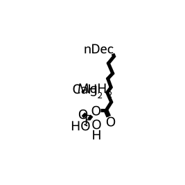 CCCCCCCCCCCCCCCCCC(=O)OP(=O)(O)O.[CaH2].[MgH2]